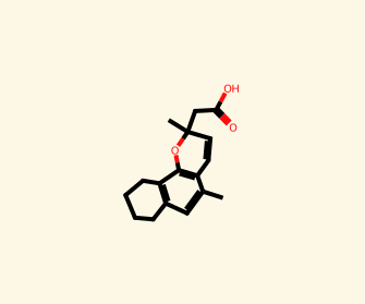 Cc1cc2c(c3c1C=CC(C)(CC(=O)O)O3)CCCC2